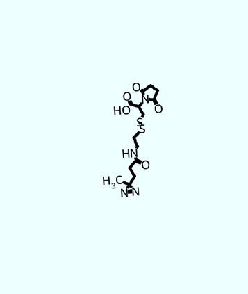 CC1(CCC(=O)NCCSSCC(C(=O)O)N2C(=O)CCC2=O)N=N1